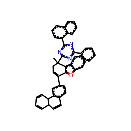 CC1(c2nc(-c3ccccc3)nc(-c3cccc4ccccc34)n2)CC=C(c2ccc3c(c2)C2C=CC=CC2C=C3)c2oc3ccccc3c21